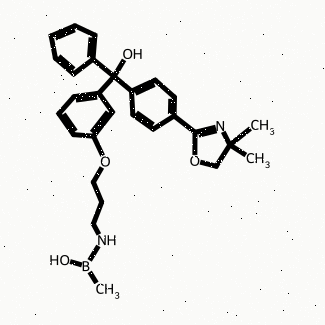 CB(O)NCCCOc1cccc(C(O)(c2ccccc2)c2ccc(C3=NC(C)(C)CO3)cc2)c1